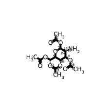 CC(=O)OCC1OC(OC(C)=O)[C@@H](N)C(OC(C)=O)[C@@H]1OC(C)=O